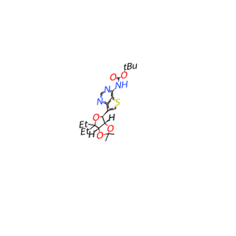 CCC1(CC)O[C@@H](c2csc3c(NC(=O)OC(C)(C)C)ncnc23)[C@@H]2OC(C)(C)O[C@@H]21